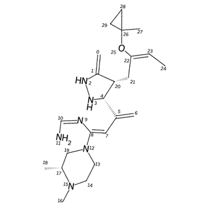 C=C1NN[C@@H](C(=C)/C=C(\N=C/N)N2CCN(C)[C@H](C)C2)[C@H]1C/C(=C\C)OC1(C)CC1